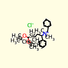 C[N+](C)(Cc1ccccc1)C(CC[SiH2]C(O[Si](C)(C)C)O[Si](C)(C)C)c1ccccc1.[Cl-]